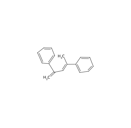 C=C(C=C(C)c1ccccc1)c1ccccc1